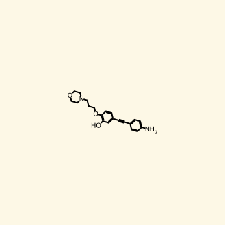 Nc1ccc(C#Cc2ccc(OCCCN3CCOCC3)c(O)c2)cc1